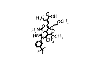 C=C/C(=C\C=C(/OCCOC)C1C(C(=O)OC)=C(C)N(c2cccc(C(F)(F)F)c2)C(=N)N1C(N)=O)C(=O)O